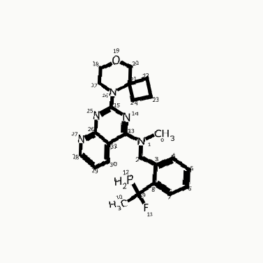 CN(Cc1ccccc1C(C)(F)P)c1nc(N2CCOCC23CCC3)nc2ncccc12